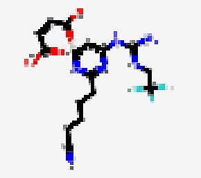 N#CCCCCc1nccc(NC(N)=NCC(F)(F)F)n1.O=C(O)/C=C\C(=O)O